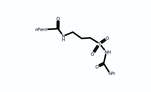 CCCCCC(=O)NCCCS(=O)(=O)NC(=O)CCC